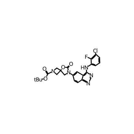 CC(C)(C)OC(=O)N1CC2(C1)CN(c1ccc3ncnc(Nc4cccc(Cl)c4F)c3c1)C(=O)O2